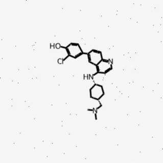 CN(C)C[C@H]1CC[C@H](Nc2[c]cnc3ccc(-c4ccc(O)c(Cl)c4)cc23)CC1